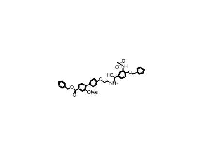 COc1cc(C(=O)OCc2ccccc2)ccc1-c1ccc(OCCN[C@@H](C)[C@@H](O)c2ccc(OCc3ccccc3)c(NS(C)(=O)=O)c2)cc1